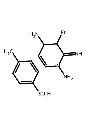 CCC1C(=N)N(N)C=CC1N.Cc1ccc(S(=O)(=O)O)cc1